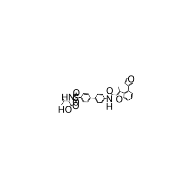 Cc1c(C(=O)Nc2ccc(-c3ccc(S(=O)(=O)NC(C(=O)O)C(C)C)cc3)cc2)oc2cccc(-c3ccoc3)c12